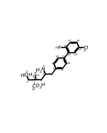 C[C@](CO)(CC(N)Cc1ccc(-c2cc(Cl)ccc2F)cc1)C(=O)O